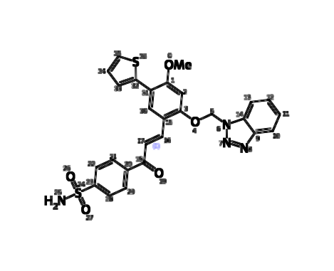 COc1cc(OCn2nnc3ccccc32)c(/C=C/C(=O)c2ccc(S(N)(=O)=O)cc2)cc1-c1cccs1